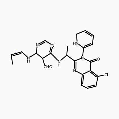 C/C=C\NC1N=CN=C(NC(C)c2nc3cccc(Cl)c3c(=O)n2C2=CC=CCN2)C1C=O